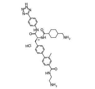 Cc1cc(C(=O)NCCN)ccc1-c1ccc(C[C@H](NC(=O)C2CCC(CN)CC2)C(=O)Nc2ccc(-c3nn[nH]n3)cc2)cc1.Cl